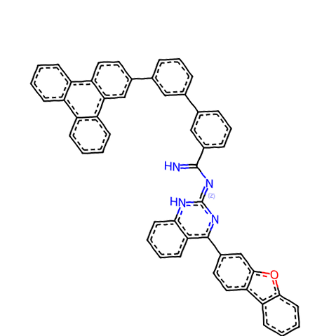 N=C(/N=c1/nc(-c2ccc3c(c2)oc2ccccc23)c2ccccc2[nH]1)c1cccc(-c2cccc(-c3ccc4c5ccccc5c5ccccc5c4c3)c2)c1